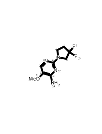 COc1cnc(N2CCC(F)(F)C2)nc1N